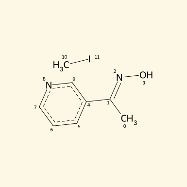 CC(=NO)c1cccnc1.CI